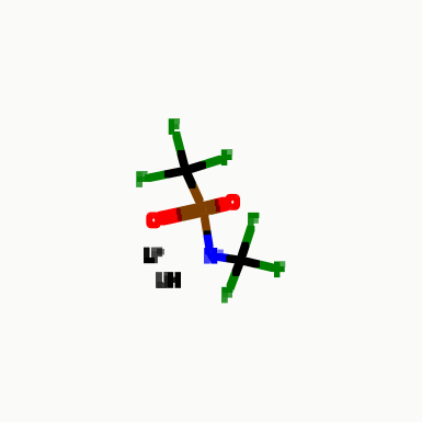 O=S(=O)([N-]C(F)(F)F)C(F)(F)F.[Li+].[LiH]